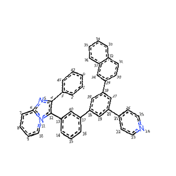 c1ccc(-c2nc3ccccn3c2-c2cccc(-c3cc(-c4ccncc4)cc(-c4ccc5ccccc5c4)c3)c2)cc1